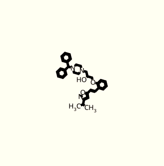 CC(C)c1cc(C=Cc2ccccc2OCC(O)CN2CCN(C(c3ccccc3)c3ccccc3)CC2)on1